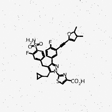 CC1C=C(C#Cc2cc(-c3nn(-c4nc(C(=O)O)cs4)c(CC4CC4)c3Cc3ccc(S(N)(=O)=O)c(F)c3)ccc2F)OC1C